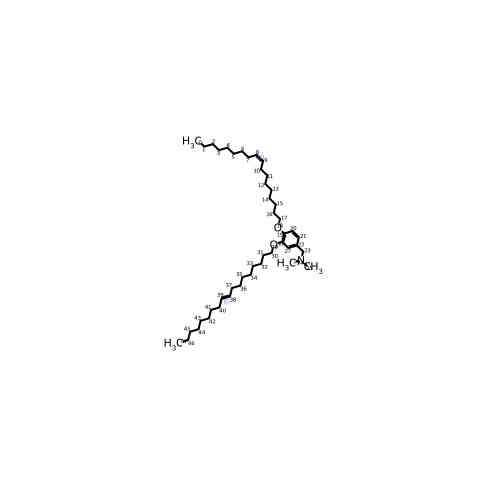 CCCCCCCC/C=C\CCCCCCCCOc1ccc(CN(C)C)cc1OCCCCCCCC/C=C/CCCCCCCC